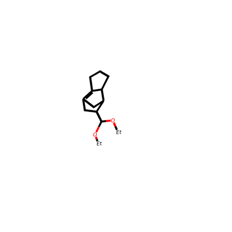 CCOC(OCC)C1CC2=C3CCCC3C1C2